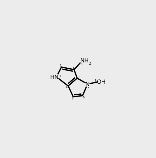 Nc1c[nH]c2ccn(O)c12